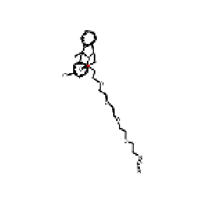 CC12c3cc(Cl)ccc3CC(c3ccccc31)N2C(=O)CCOCCOCCOCCOCCN=[N+]=[N-]